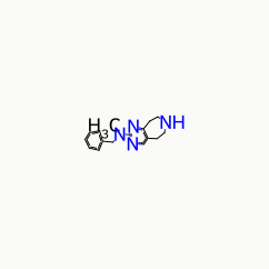 CN(Cc1ccccc1)c1ncc2c(n1)CCNCC2